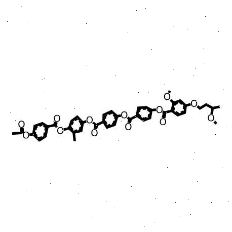 COc1cc(OCCC(C)OC)ccc1C(=O)Oc1ccc(C(=O)Oc2ccc(C(=O)Oc3ccc(OC(=O)c4ccc(OC(C)=O)cc4)c(C)c3)cc2)cc1